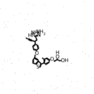 CC#CC(C/C(=N/N)NN)c1ccc(OCc2ccc3scc(-c4ccc(OCC(O)CO)cc4C)c3c2)cc1